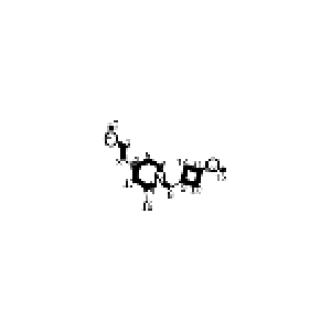 COCC[C@@H]1CCN(C[C@H]2C[C@H](OC)C2)[C@H](C)C1